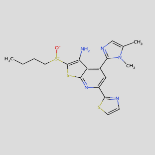 CCCC[S+]([O-])c1sc2nc(-c3nccs3)cc(-c3ncc(C)n3C)c2c1N